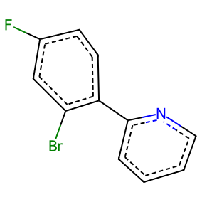 Fc1ccc(-c2ccccn2)c(Br)c1